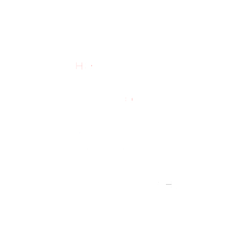 CCC/[C]=C\C(=O)O